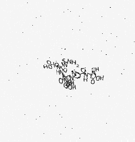 CC(C)(ON=C(C(=O)N[C@@H]1C(=O)N(S(=O)(=O)O)[C@@H]1CNc1ccc(C(=O)NCc2cc(=O)c(O)cn2O)cn1)c1csc(N)n1)C(=O)O